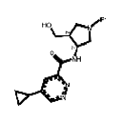 CC(C)N1C[C@H](CO)[C@H](NC(=O)c2cc(C3CC3)cnn2)C1